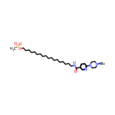 CCC(C)N1CCN(c2ccc(C(=O)NCCCCCCCCCCCCCCCCCCOS(C)(=O)=O)cn2)CC1